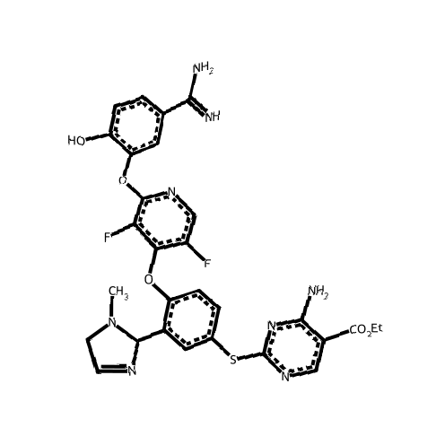 CCOC(=O)c1cnc(Sc2ccc(Oc3c(F)cnc(Oc4cc(C(=N)N)ccc4O)c3F)c(C3N=CCN3C)c2)nc1N